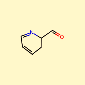 O=CC1CC=CC=N1